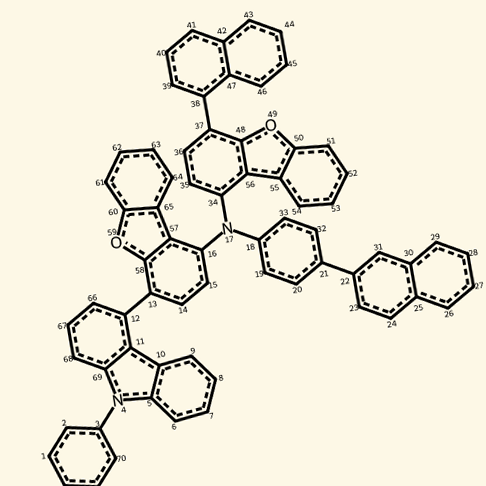 c1ccc(-n2c3ccccc3c3c(-c4ccc(N(c5ccc(-c6ccc7ccccc7c6)cc5)c5ccc(-c6cccc7ccccc67)c6oc7ccccc7c56)c5c4oc4ccccc45)cccc32)cc1